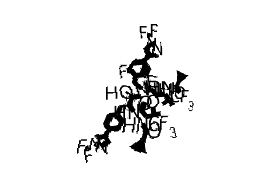 CC(C)(C(NC(=O)C1CC1)C(=O)N[C@@H](Cc1ccc(-c2cnn(C(F)F)c2)cc1)[C@@H](O)CN(Cc1c(F)cc(-c2cnn(C(F)F)c2)cc1F)NC(=O)C(NC(=O)C1CC1)C(C)(C)C(F)(F)F)C(F)(F)F